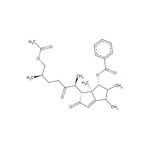 CC(=O)OC[C@H](C)CCC(=O)[C@@H](C)[C@H]1C(=O)C=C2C(C)C(C)[C@@H](OC(=O)c3ccccc3)[C@@]21C